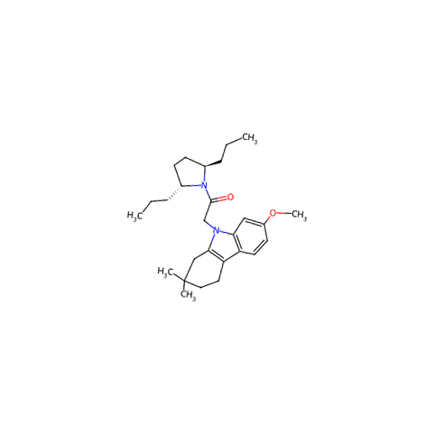 CCC[C@@H]1CC[C@@H](CCC)N1C(=O)Cn1c2c(c3ccc(OC)cc31)CCC(C)(C)C2